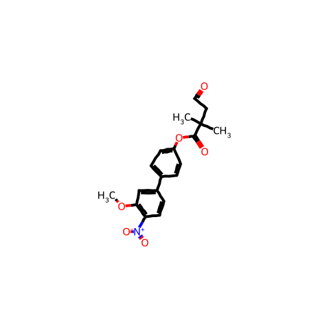 COc1cc(-c2ccc(OC(=O)C(C)(C)CC=O)cc2)ccc1[N+](=O)[O-]